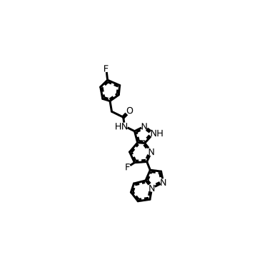 O=C(Cc1ccc(F)cc1)Nc1n[nH]c2nc(-c3cnn4ccccc34)c(F)cc12